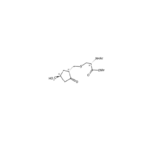 COC(=O)[C@H](CSC[C@H]1C[C@H](C(=O)O)CC1=O)NC(C)=O